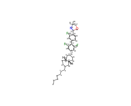 CCCCCCCC1CC[C@@H]2C[C@H](c3cc(F)c(-c4ccc(C5=NC(C)(C)CO5)c(F)c4)c(F)c3)CC[C@@H]2C1